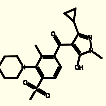 Cc1c(C(=O)c2c(C3CC3)nn(C)c2O)ccc(S(C)(=O)=O)c1N1CCCCC1